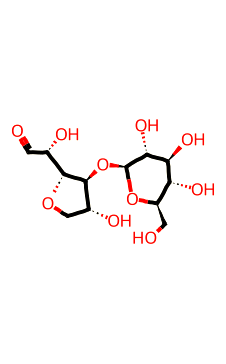 O=C[C@H](O)[C@H]1OC[C@@H](O)[C@@H]1O[C@@H]1O[C@H](CO)[C@@H](O)[C@H](O)[C@H]1O